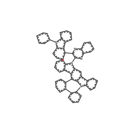 c1ccc(-n2c3ccccc3c3c(-c4nc5ccccc5nc4-n4c5ccccc5c5c6c7c(cc54)c4ccccc4n7-c4ccccc4-c4ccccc4-6)cccc32)cc1